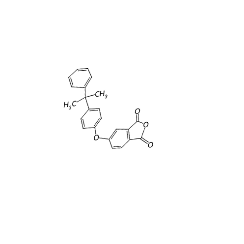 CC(C)(c1ccccc1)c1ccc(Oc2ccc3c(c2)C(=O)OC3=O)cc1